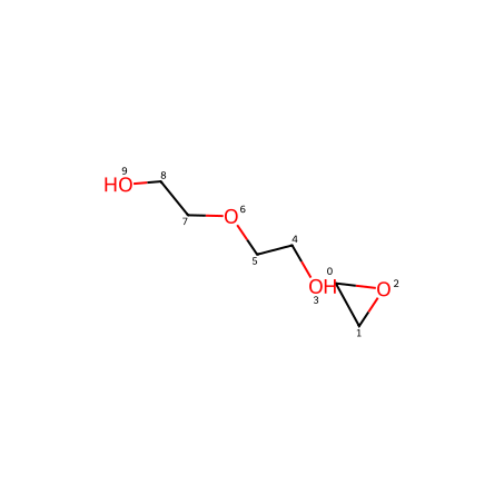 C1CO1.OCCOCCO